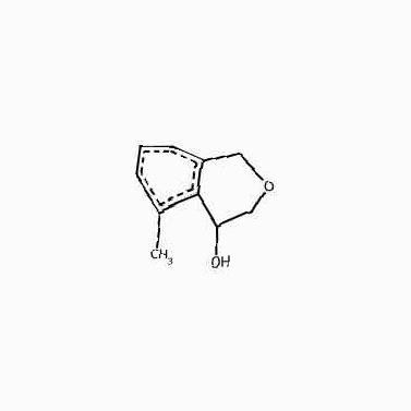 Cc1cccc2c1C(O)COC2